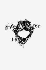 CCCCCCCCC1CCCCCC(CCC)CCCCC(CCCCCC)COC(=O)CCCCCC(=O)OCCCN(C(=O)CCN(CC)CCO)CCCOC(=O)CCCCCC(=O)OC1